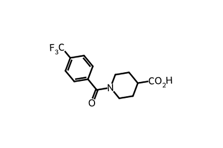 O=C(O)C1CCN(C(=O)c2ccc(C(F)(F)F)cc2)CC1